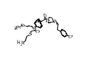 CC(C)OCCN(C(=O)CSCCN)c1ccc(C(=O)N2CCN(CCc3ccc(Cl)cc3)CC2)cc1